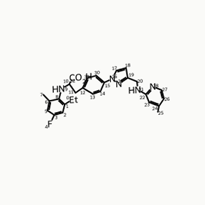 CCc1cc(F)cc(C)c1NC(Cc1ccc(-n2ccc(CNc3cc(C)ccn3)n2)cc1)C(=O)O